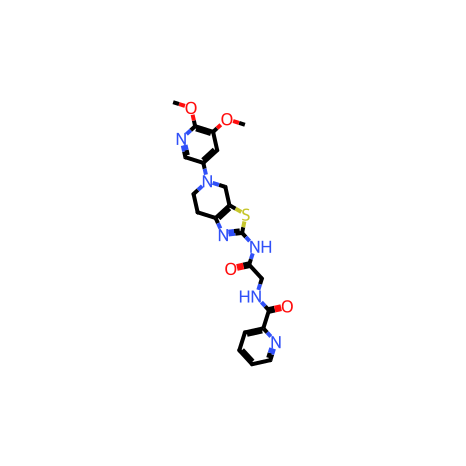 COc1cc(N2CCc3nc(NC(=O)CNC(=O)c4ccccn4)sc3C2)cnc1OC